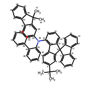 CC(C)(C)c1ccc2c(c1)C1(c3ccccc3-c3ccccc31)c1cccc(N(c3ccc4c(c3)C(C)(C)c3ccccc3-4)c3ccccc3-c3ccccc3)c1-2